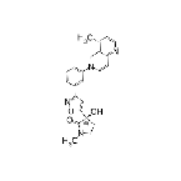 Cc1ccnc2c1CN(c1cccc(-c3cc([C@]4(O)CCN(C)C4=O)on3)c1)C=C2